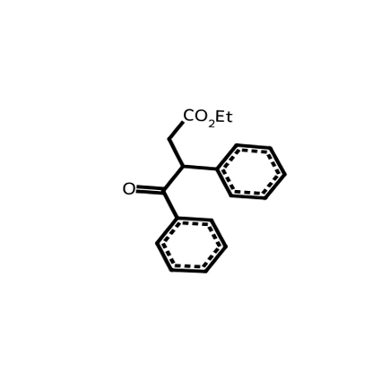 CCOC(=O)CC(C(=O)c1ccccc1)c1ccccc1